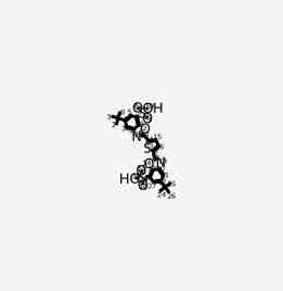 CC(C)(C)c1cc(S(=O)(=O)O)c2oc(-c3ccc(-c4nc5cc(C(C)(C)C)cc(S(=O)(=O)O)c5o4)s3)nc2c1